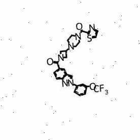 O=C(c1ccc2nn(-c3cccc(OC(F)(F)F)c3)cc2c1)N1CC(N2CCN(C(=O)c3nccs3)CC2)C1